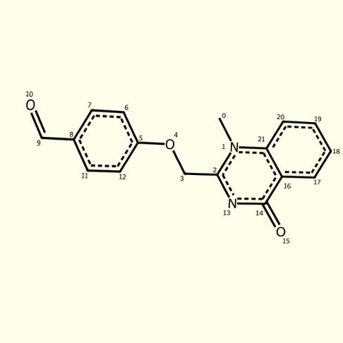 Cn1c(COc2ccc(C=O)cc2)nc(=O)c2ccccc21